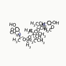 CCC(COCC(C)OCC(C)/N=C/c1ccc(O)c(OC)c1)(CC(C)(C)C)CC(C)(C)OCC(C)C(C)(C)/N=C/c1ccc(O)c(OC)c1